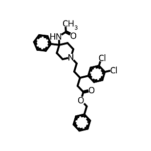 CC(=O)NC1(c2ccccc2)CCN(CCC(CC(=O)OCc2ccccc2)c2ccc(Cl)c(Cl)c2)CC1